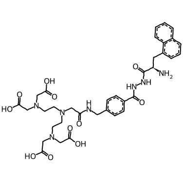 N[C@H](Cc1cccc2ccccc12)C(=O)NNC(=O)c1ccc(CNC(=O)CN(CCN(CC(=O)O)CC(=O)O)CCN(CC(=O)O)CC(=O)O)cc1